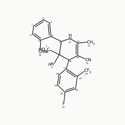 CCCC1(C(=O)O)C(c2ccccc2OC)NC(C)=C(C#N)C1c1ccc(F)cc1C(F)(F)F